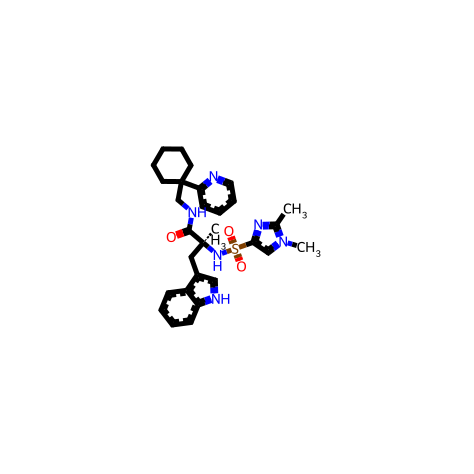 Cc1nc(S(=O)(=O)N[C@@](C)(Cc2c[nH]c3ccccc23)C(=O)NCC2(c3ccccn3)CCCCC2)cn1C